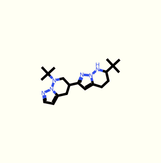 CC(C)(C)C1CCc2cc(C3Cc4ccnn4N(C(C)(C)C)C3)nn2N1